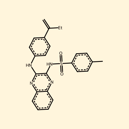 C=C(CC)c1ccc(Nc2nc3ccccc3nc2NS(=O)(=O)c2ccc(C)cc2)cc1